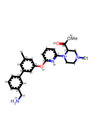 CCN1CCN(c2cccc(Oc3cc(C)cc(-c4cccc(CN)c4)c3)n2)C(C(=O)OC)C1